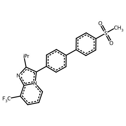 CC(C)c1nc2c(C(F)(F)F)cccn2c1-c1ccc(-c2ccc(S(C)(=O)=O)cc2)cc1